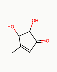 CC1=CC(=O)C(O)C1O